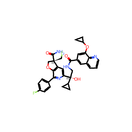 NC(=O)[C@@]1(CF)COc2c1cc([C@@](O)(CNC(=O)c1cc(OC3CC3)c3ncccc3c1)C1CC1)nc2-c1ccc(F)cc1